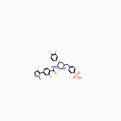 Cn1nccc1-c1ccc(C(=O)N[C@@H]2CNC(Cc3ccc(S(=O)(=O)O)cc3)C[C@H]2c2ccc(F)c(F)c2)c(F)c1